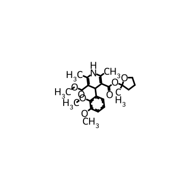 COC(=O)C1=C(C)NC(C)=C(C(=O)OC2(C)CCCO2)C1c1cccc(OC)c1OC